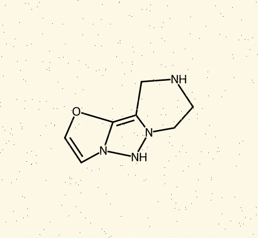 C1=CN2NN3CCNCC3=C2O1